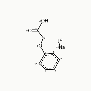 O=C(O)COc1ccccc1.[Na][I]